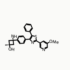 COc1cncc(-c2nc(-c3ccc([C@]4(N)C[C@](C)(O)C4)cc3)c(-c3ccccc3)s2)c1